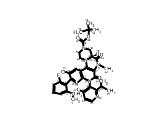 COc1cccc(F)c1-c1nc2c(cc1Cl)c1c(c(=O)n2-c2c(C)ccnc2C(C)C)N(C)C(=O)[C@H]2CN(C(=O)OC(C)(C)C)CCN12